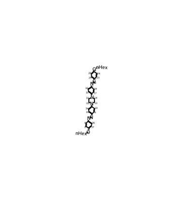 CCCCCCOc1ccc(/N=N/c2ccc(N3CCN(c4ccc(/N=N/c5ccc(OCCCCCC)cc5)cc4)CC3)cc2)cc1